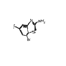 Nc1nc2cc(F)cc(Br)c2s1